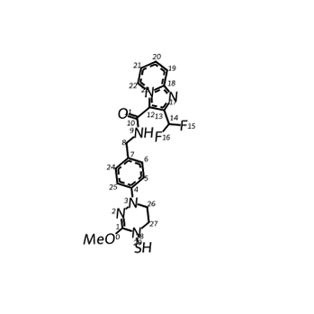 COC1=NN(c2ccc(CNC(=O)c3c(C(F)F)nc4ccccn34)cc2)CCN1S